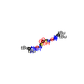 CN(CCOC/C(=C/NCc1cc(C(C)(C)C)cc(C(C)(C)C)c1)N=N)c1ccc(C2C(=O)C(=O)C(c3ccc(N(C)CCOCc4cn(Cc5cc(C(C)(C)C)cc(C(C)(C)C)c5)nn4)s3)C2O)s1